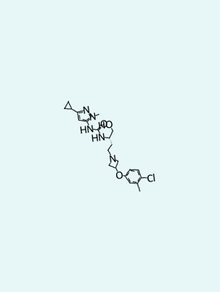 Cc1cc(OC2CN(CC[C@@H](CO)NC(=O)Nc3cc(C4CC4)nn3C)C2)ccc1Cl